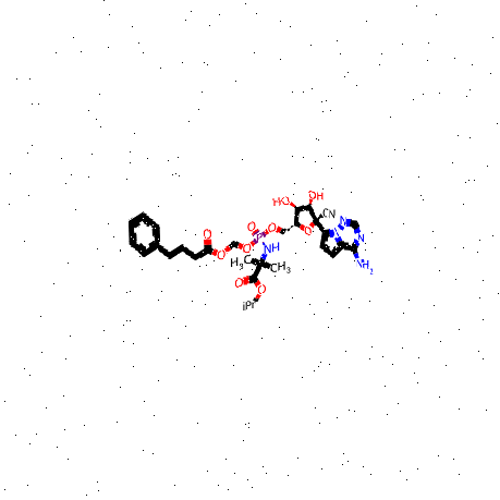 CC(C)OC(=O)C(C)(C)N[P@@](=O)(OCOC(=O)CCCc1ccccc1)OC[C@H]1O[C@@](C#N)(c2ccc3c(N)ncnn23)[C@H](O)[C@@H]1O